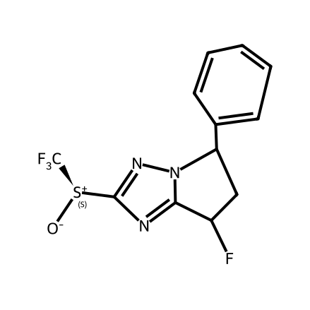 [O-][S@+](c1nc2n(n1)C(c1ccccc1)CC2F)C(F)(F)F